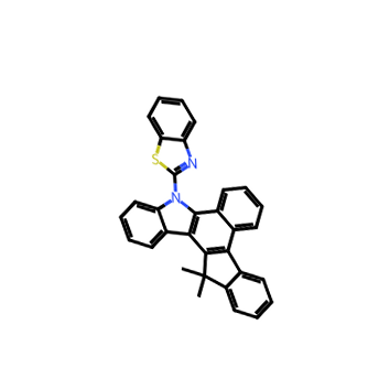 CC1(C)c2ccccc2-c2c1c1c3ccccc3n(-c3nc4ccccc4s3)c1c1ccccc21